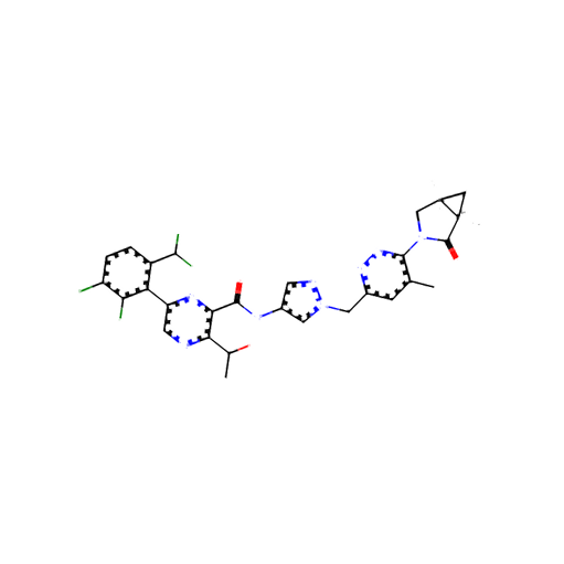 Cc1cc(Cn2cc(NC(=O)c3nc(-c4c(C(F)F)ccc(Cl)c4F)cnc3C(C)O)cn2)nnc1N1C[C@H]2C[C@H]2C1=O